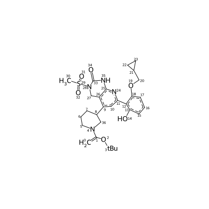 C=C(OC(C)(C)C)N1CCCC(c2cc(-c3c(O)cccc3OCC3CC3)nc3c2CN(S(C)(=O)=O)C(=O)N3)C1